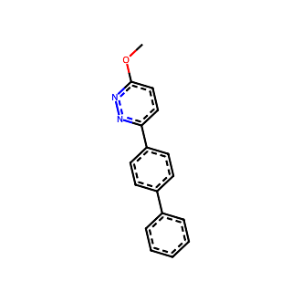 COc1ccc(-c2ccc(-c3ccccc3)cc2)nn1